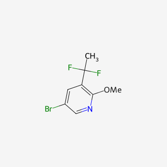 COc1ncc(Br)cc1C(C)(F)F